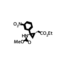 CCOC(=O)C[C@@H]1C[C@@]1(NC(=O)OC)c1cccc([N+](=O)[O-])c1